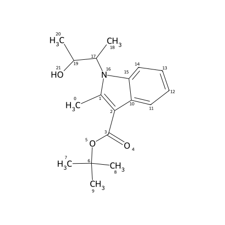 Cc1c(C(=O)OC(C)(C)C)c2ccccc2n1C(C)C(C)O